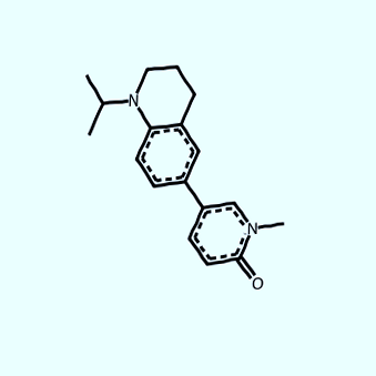 CC(C)N1CCCc2cc(-c3ccc(=O)n(C)c3)ccc21